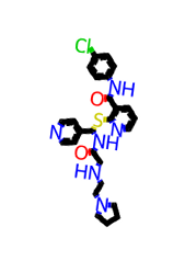 O=C(CNCCN1CCCC1)NC(Sc1ncccc1C(=O)Nc1ccc(Cl)cc1)c1ccncc1